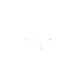 Cc1cc2c(F)c(F)sc2[nH]1